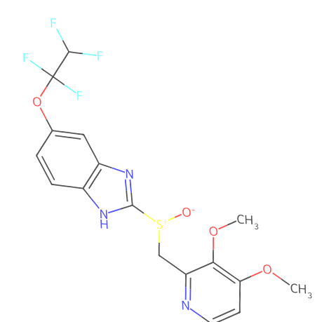 COc1ccnc(C[S+]([O-])c2nc3cc(OC(F)(F)C(F)F)ccc3[nH]2)c1OC